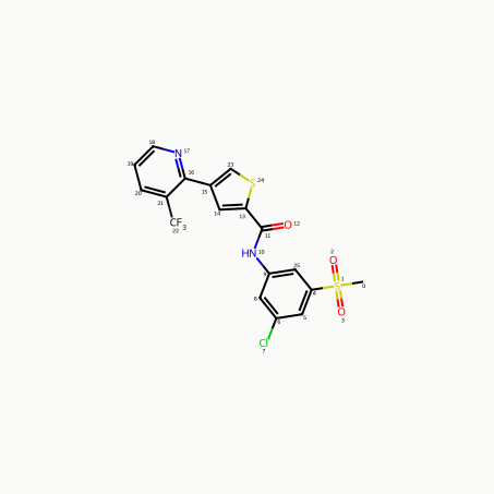 CS(=O)(=O)c1cc(Cl)cc(NC(=O)c2cc(-c3ncccc3C(F)(F)F)cs2)c1